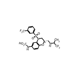 CC(NC[C@H]1CN(S(=O)(=O)c2cccc(C(F)(F)F)c2)c2cc(NC(=O)O)ccc2O1)C(F)(F)F